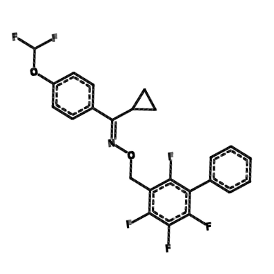 Fc1c(F)c(CO/N=C(/c2ccc(OC(F)F)cc2)C2CC2)c(F)c(-c2ccccc2)c1F